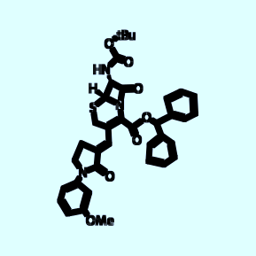 COc1cccc(N2CCC(=CC3=C(C(=O)OC(c4ccccc4)c4ccccc4)N4C(=O)[C@@H](NC(=O)OC(C)(C)C)[C@H]4SC3)C2=O)c1